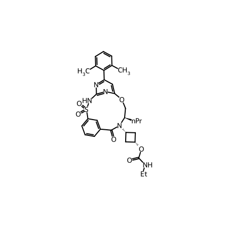 CCC[C@@H]1COc2cc(-c3c(C)cccc3C)nc(n2)NS(=O)(=O)c2cccc(c2)C(=O)N1[C@H]1C[C@@H](OC(=O)NCC)C1